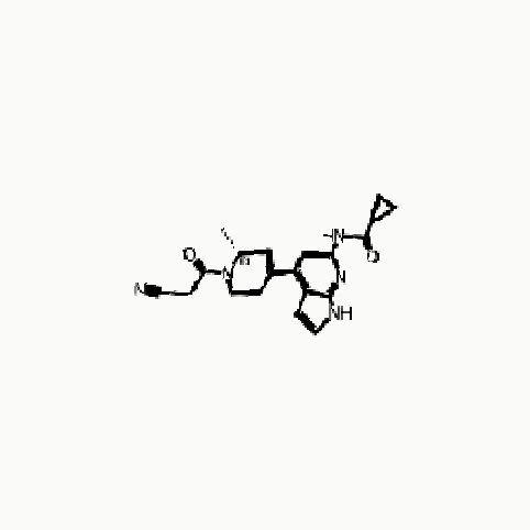 C[C@@H]1C=C(c2cc(NC(=O)C3CC3)nc3[nH]ccc23)CCN1C(=O)CC#N